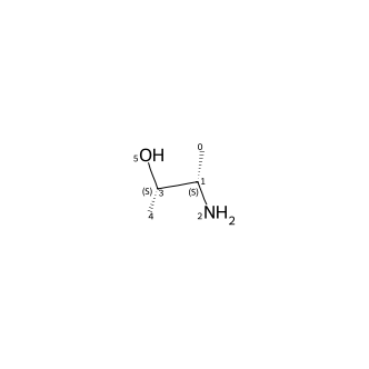 C[C@H](N)[C@H](C)O